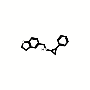 c1ccc(C2CC2NCc2ccc3c(c2)CCO3)cc1